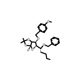 CCCC[C@@H](OCc1ccccc1)[C@H]1O[C@@H]2OC(C)(C)OC2[C@H]1OCc1ccc(OC)cc1